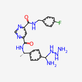 C[C@H](NC(=O)c1cc(C(=O)NCc2ccc(F)cc2)ncn1)c1ccc(C(N)NNN)cc1